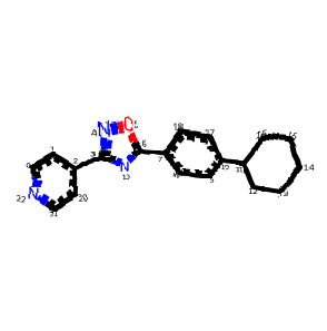 c1cc(-c2noc(-c3ccc(C4CCCCC4)cc3)n2)ccn1